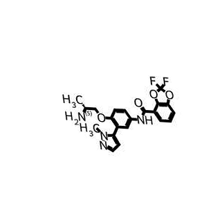 C[C@H](N)COc1ccc(NC(=O)c2cccc3c2OC(F)(F)O3)cc1-c1ccnn1C